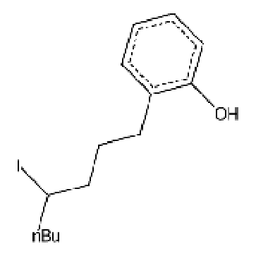 CCCCC(I)CCCc1ccccc1O